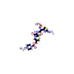 CCCON=C(C(=O)NC1C(=O)N2C=C(COC(=O)N3CCN(C)CC3)CS[C@@H]12)c1csc(N)n1